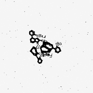 CCC(C)C1=Cc2c(-c3ccccc3C(C)(C)C)cccc2[CH]1[Zr]([c]1cccc2c1[SiH2]c1ccccc1-2)[CH]1C(C(C)CC)=Cc2c(-c3ccccc3C(C)(C)C)cccc21